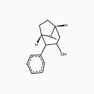 CN1[C@@H]2CC[C@H]1C(c1ccccc1)[C](O)C2